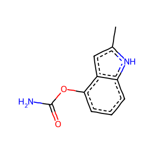 Cc1cc2c(OC(N)=O)cccc2[nH]1